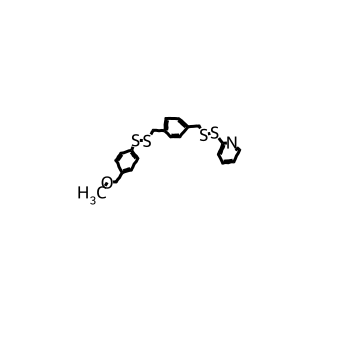 COCc1ccc(SSCc2ccc(CSSc3ccccn3)cc2)cc1